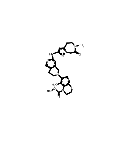 Cc1c(N2CCc3cnc(Nc4cc5n(n4)CC(=O)N(C)CC5)cc3C2)cnc2c1N(C(=O)OC(C)(C)C)CCO2